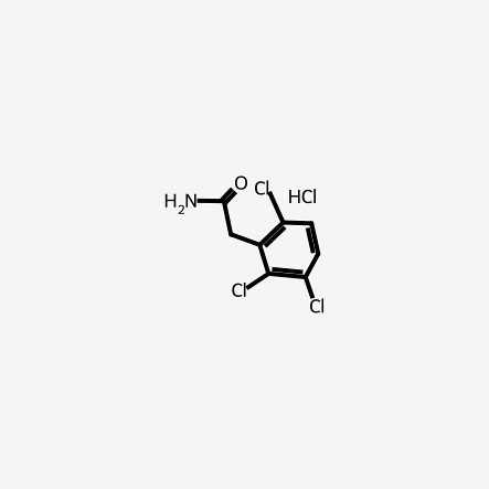 Cl.NC(=O)Cc1c(Cl)ccc(Cl)c1Cl